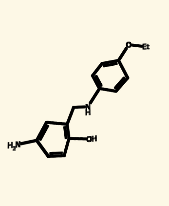 CCOc1ccc(NCc2cc(N)ccc2O)cc1